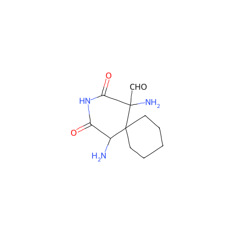 NC1C(=O)NC(=O)C(N)(C=O)C12CCCCC2